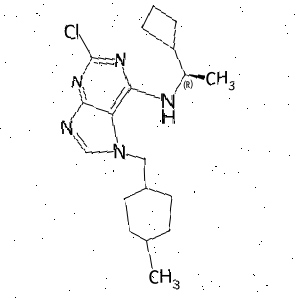 CC1CCC(Cn2cnc3nc(Cl)nc(N[C@H](C)C4CCC4)c32)CC1